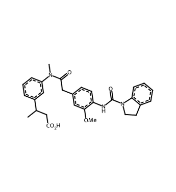 COc1cc(CC(=O)N(C)c2cccc(C(C)CC(=O)O)c2)ccc1NC(=O)N1CCc2ccccc21